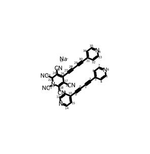 C(C#Cc1ccncc1)#Cc1ccncc1.N#CC1=C(C#N)N(C#N)C(C#N)C(C#N)=C1C#CC#Cc1ccncc1.[Na]